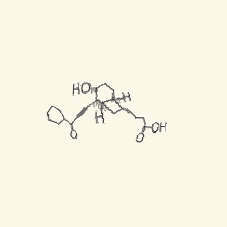 O=C(O)CCC=C1C[C@@H]2[C@@H](C#CC(=O)C3CCCCC3)[C@H](O)CC[C@H]12